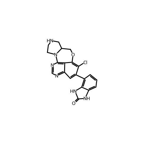 O=c1[nH]c2cccc(-c3cc4ncnc5c4c(c3Cl)OCC3CNCCN53)c2[nH]1